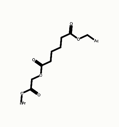 CCCOC(=O)COC(=O)CCCCC(=O)OCC(C)=O